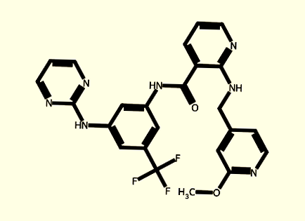 COc1cc(CNc2ncccc2C(=O)Nc2cc(Nc3ncccn3)cc(C(F)(F)F)c2)ccn1